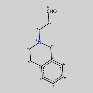 O=CCCN1CCc2ccccc2C1